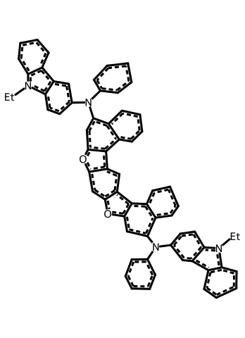 CCn1c2ccccc2c2cc(N(c3ccccc3)c3cc4oc5cc6oc7cc(N(c8ccccc8)c8ccc9c(c8)c8ccccc8n9CC)c8ccccc8c7c6cc5c4c4ccccc34)ccc21